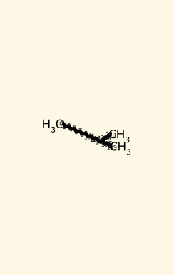 CCCCCCCCCCCCCCC[C](CCCC)CCCC